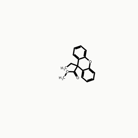 CCC1(C(=O)OC)c2ccccc2Oc2ccccc21